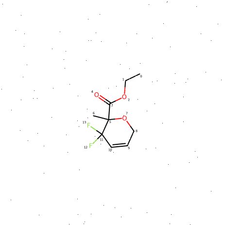 CCOC(=O)C1(C)OCC=CC1(F)F